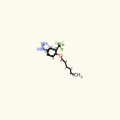 CCCCCCOc1ccc(NN)cc1C(F)(F)F